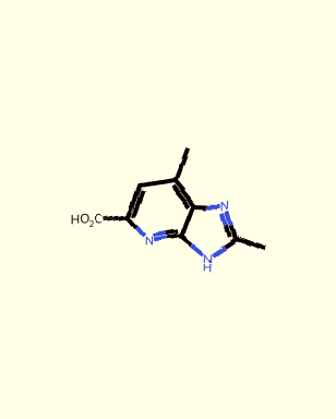 Cc1nc2c(C)cc(C(=O)O)nc2[nH]1